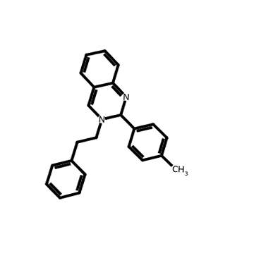 Cc1ccc(C2N=c3ccccc3=CN2CCc2ccccc2)cc1